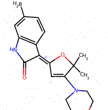 Bc1ccc2c(c1)NC(=O)/C2=C1\C=C(N2CCOCC2)C(C)(C)O1